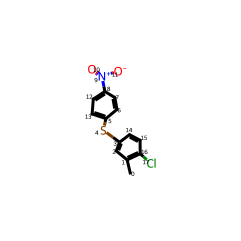 Cc1cc(Sc2ccc([N+](=O)[O-])cc2)ccc1Cl